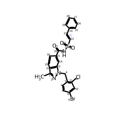 Cc1nn(Cc2ccc(Br)cc2Cl)c2cc(C(=O)NS(=O)(=O)/C=C/c3ccccc3)ccc12